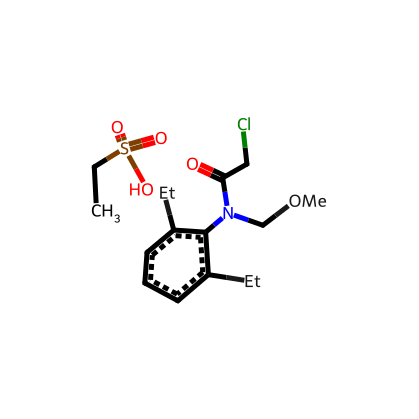 CCS(=O)(=O)O.CCc1cccc(CC)c1N(COC)C(=O)CCl